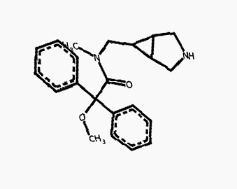 COC(C(=O)N(C)CC1C2CNCC21)(c1ccccc1)c1ccccc1